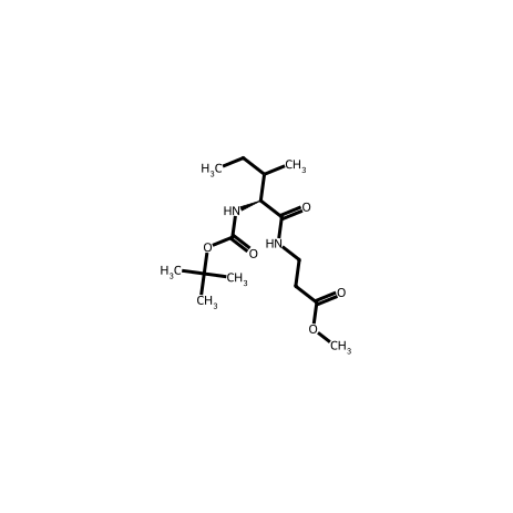 CCC(C)[C@H](NC(=O)OC(C)(C)C)C(=O)NCCC(=O)OC